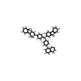 c1ccc2c(-c3ccc(N(c4ccc(-c5cc6oc7ccccc7c6cn5)cc4)c4ccc5c(c4)sc4ccccc45)cc3)cccc2c1